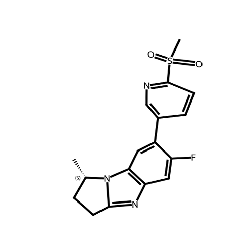 C[C@H]1CCc2nc3cc(F)c(-c4ccc(S(C)(=O)=O)nc4)cc3n21